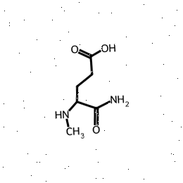 CNC(CCC(=O)O)C(N)=O